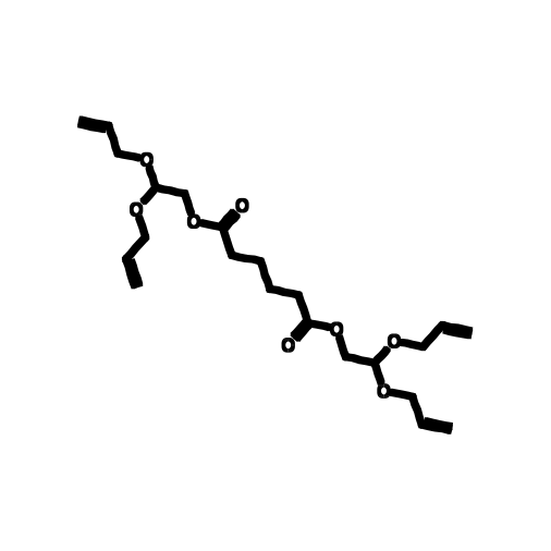 C=CCOC(COC(=O)CCCCC(=O)OCC(OCC=C)OCC=C)OCC=C